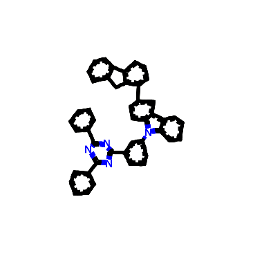 c1ccc(-c2nc(-c3ccccc3)nc(-c3cccc(-n4c5ccccc5c5cc(-c6cccc7c6Cc6ccccc6-7)ccc54)c3)n2)cc1